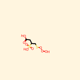 O=C(O)CC(CSOOO)S(=O)(=O)O